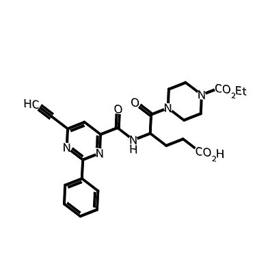 C#Cc1cc(C(=O)NC(CCC(=O)O)C(=O)N2CCN(C(=O)OCC)CC2)nc(-c2ccccc2)n1